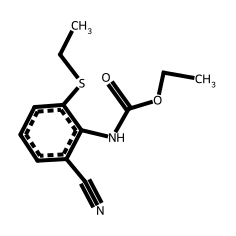 CCOC(=O)Nc1c(C#N)cccc1SCC